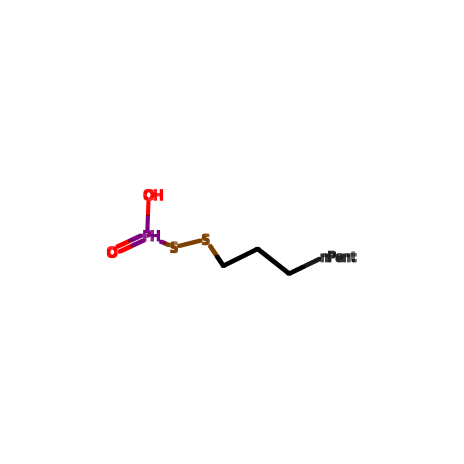 CCCCCCCCSS[PH](=O)O